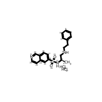 C[C@H](CNCCc1ccccc1)NS(=O)(=O)c1ccc2cnccc2c1.Cl.Cl